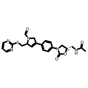 CC(=O)NC[C@H]1CN(c2ccc(C3=CC(CSc4ncccn4)N(C=O)C3)cc2)C(=O)O1